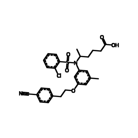 Cc1cc(OCCc2ccc(C#N)cc2)cc(N(C(C)CCCC(=O)O)S(=O)(=O)c2ccccc2Cl)c1